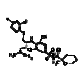 CN(C)CC[C@H](CSc1ccc(F)cc1F)Nc1c(Cl)cc(S(=O)(=O)NC(=O)[C@@]2(C)CCCCO2)cc1C#N